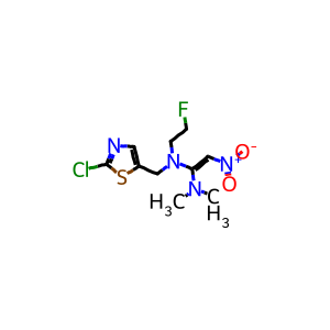 CN(C)C(=C[N+](=O)[O-])N(CCF)Cc1cnc(Cl)s1